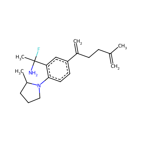 C=C(C)CCC(=C)c1ccc(N2CCCC2C)c(C(C)(N)F)c1